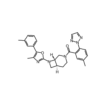 Cc1cccc(-c2oc(N3C[C@@H]4CCN(C(=O)c5cc(C)ccc5-n5nccn5)C[C@H]43)nc2C)c1